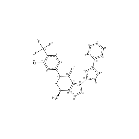 C[C@H]1CN(c2ccc(C(F)(F)F)c(Cl)c2)C(=O)c2c(-c3cc(-c4ccccn4)on3)cnn21